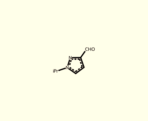 CC(C)n1ccc(C=O)n1